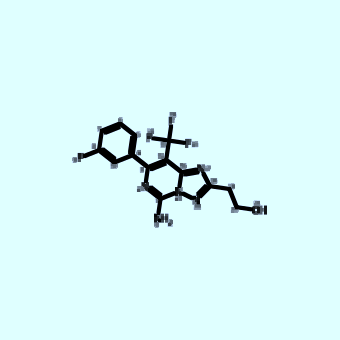 Nc1nc(-c2cccc(F)c2)c(C(F)(F)F)c2nc(CCO)nn12